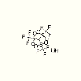 O=S(=O)(C(S(=O)(=O)C(F)(F)F)S(=O)(=O)C(F)(F)F)C(F)(F)F.[LiH]